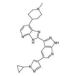 CN1CCC(c2ccnc3[nH]c(-c4n[nH]c5ncc(-c6cnn(C7CC7)c6)cc45)nc23)CC1